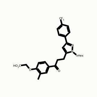 CCCCCCn1nc(-c2ccc(C(F)(F)F)cc2)cc1CCC(=O)c1ccc(OCC(=O)O)c(C)c1